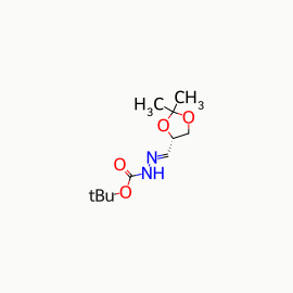 CC(C)(C)OC(=O)N/N=C/[C@H]1COC(C)(C)O1